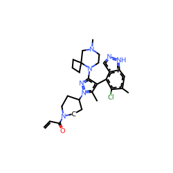 C=CC(=O)N1CCC(n2nc(N3CCN(C)CC34CCC4)c(-c3c(Cl)c(C)cc4[nH]ncc34)c2C)CC1